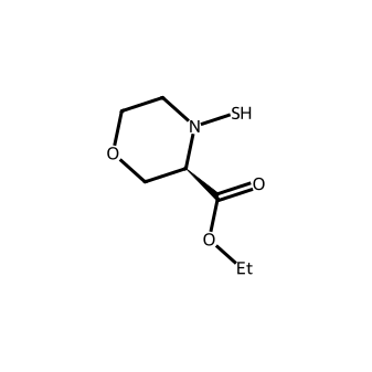 CCOC(=O)[C@H]1COCCN1S